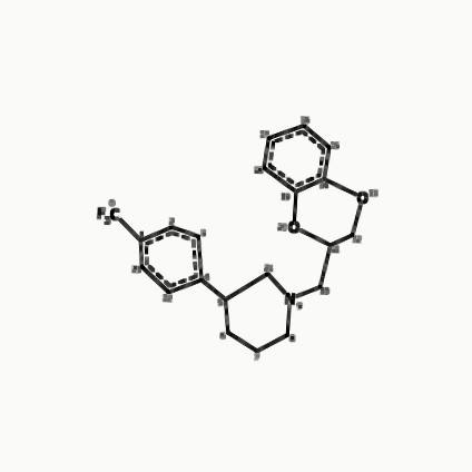 FC(F)(F)c1ccc(C2CCCN(CC3COc4ccccc4O3)C2)cc1